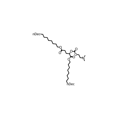 CCCCCCCCCCCCCCCCCCOC(=O)CCC(OC(=O)OCCN(C)C)C(=O)OCCCCCCCCCCCCCCCCCC